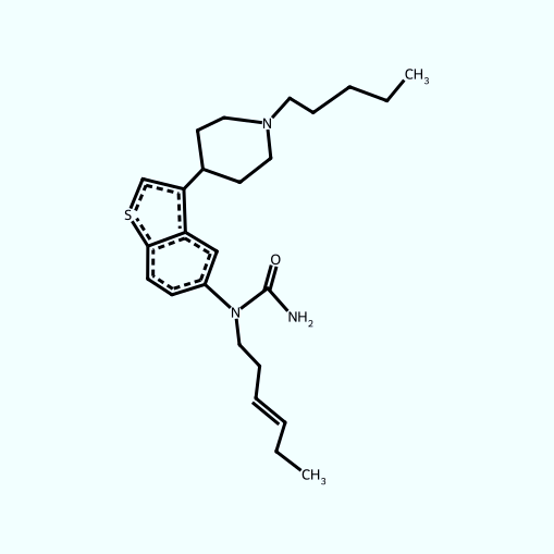 CCC=CCCN(C(N)=O)c1ccc2scc(C3CCN(CCCCC)CC3)c2c1